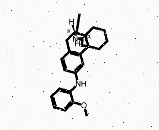 COc1ccccc1Nc1ccc2c(c1)C13CCCC[C@H]1[C@@H](C2)N(C)CC3